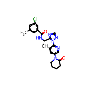 C[C@H](NC(=O)c1cc(Cl)cc(C(F)(F)F)c1)c1ncnn1-c1ccc(N2CCCCC2=O)cn1